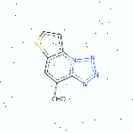 O=Cc1cc2sccc2n2nnnc12